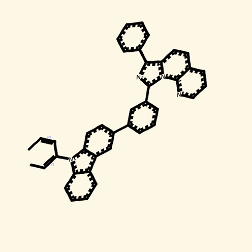 C/C=C\C(=C/C)n1c2ccccc2c2cc(-c3cccc(-c4nc(-c5ccccc5)c5ccc6cccnc6n45)c3)ccc21